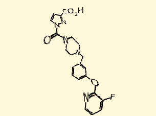 O=C(O)c1ccn(C(=O)N2CCN(Cc3cccc(Oc4ncccc4F)c3)CC2)n1